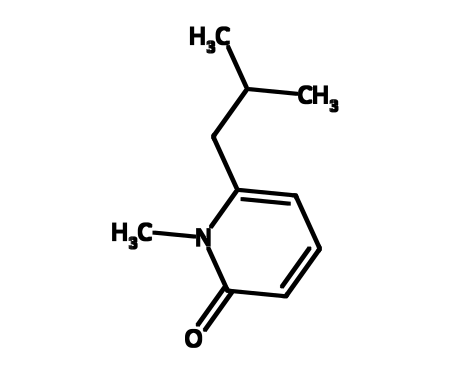 CC(C)Cc1cccc(=O)n1C